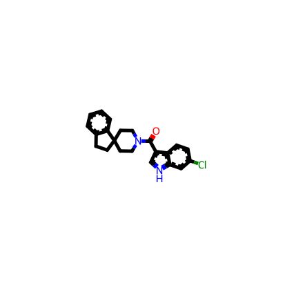 O=C(c1c[nH]c2cc(Cl)ccc12)N1CCC2(CCc3ccccc32)CC1